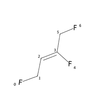 FCC=C(F)CF